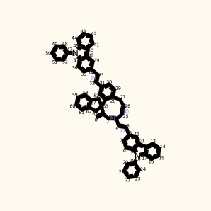 C=C1/C=C(/C=C/c2ccc3c(c2)c2ccccc2n3-c2ccccc2)\C=C/Cc2ccc(/C=C/c3ccc4c(c3)c3ccccc3n4-c3ccccc3)cc2C12Cc1ccccc1C2